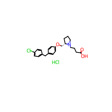 Cl.O=C(O)CCCN1CCC[C@H]1COc1ccc(Cc2ccc(Cl)cc2)cc1